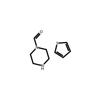 O=CN1CCNCC1.c1ccsc1